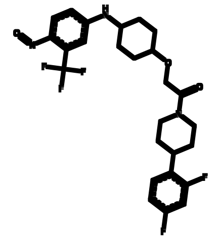 O=Nc1ccc(NC2CCC(OCC(=O)N3CCC(c4ccc(F)cc4F)CC3)CC2)cc1C(F)(F)F